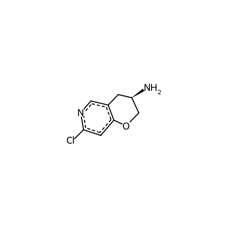 N[C@H]1COc2cc(Cl)ncc2C1